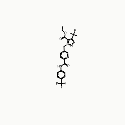 CCOC(=O)c1c(C(F)(F)F)nnn1Cc1ccc(C(=O)Nc2ccc(C(F)(F)F)cc2)nc1